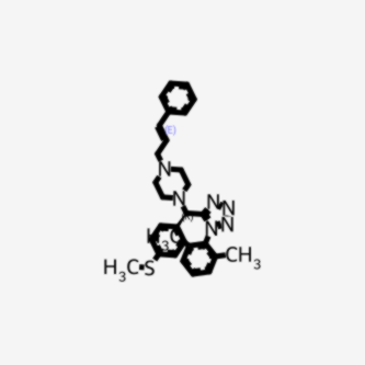 CSc1ccc([C@H](c2nnnn2-c2c(C)cccc2C)N2CCN(C/C=C/c3ccccc3)CC2)cc1